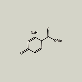 COC(=O)C1C=CC(=O)C=C1.[NaH]